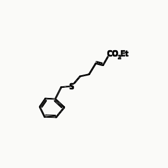 CCOC(=O)/C=C/CCSCc1ccccc1